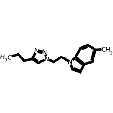 CCCc1cn(CCn2ccc3cc(C)ccc32)nn1